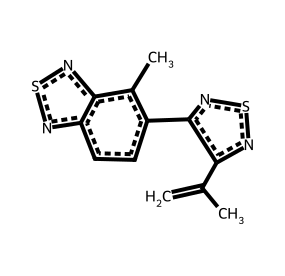 C=C(C)c1nsnc1-c1ccc2nsnc2c1C